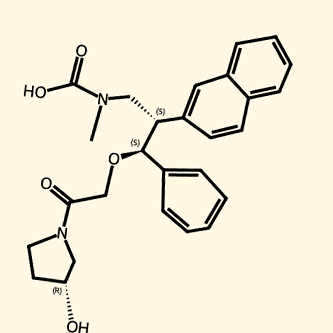 CN(C[C@H](c1ccc2ccccc2c1)[C@H](OCC(=O)N1CC[C@@H](O)C1)c1ccccc1)C(=O)O